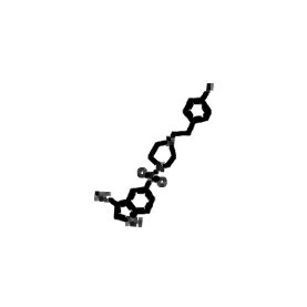 N#Cc1c[nH]c2ccc(S(=O)(=O)N3CCN(CCc4ccc(F)cc4)CC3)cc12